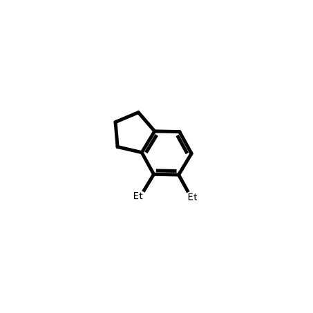 CCc1ccc2c(c1CC)CCC2